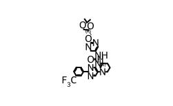 CC1(C)OC[C@@H](COc2ncc(NC(=O)N3c4nc(-c5cccc(C(F)(F)F)c5)ncc4N4CCC[C@H]3C4)cn2)O1